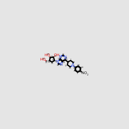 O=[N+]([O-])c1ccc(N2CCC(c3ncnc4c3ncn4[C@@H]3C[C@H](CO)[C@@H](O)[C@H]3O)CC2)cc1